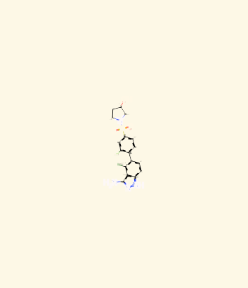 Nc1n[nH]c2ccc(-c3ccc(S(=O)(=O)N4CCC(O)C4)cc3F)c(Cl)c12